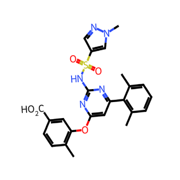 Cc1ccc(C(=O)O)cc1Oc1cc(-c2c(C)cccc2C)nc(NS(=O)(=O)c2cnn(C)c2)n1